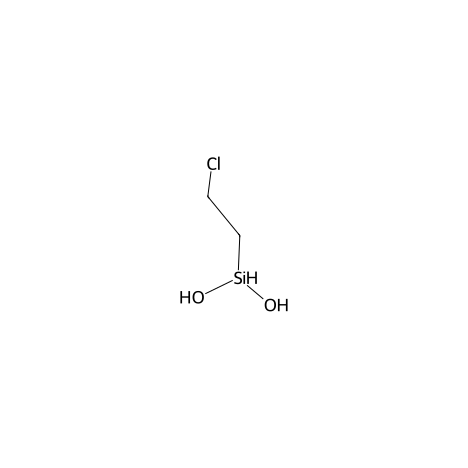 O[SiH](O)CCCl